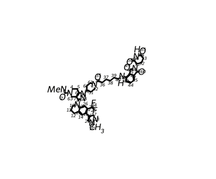 CNC(=O)N1CCc2c(c(N3CCCc4cc(-c5cnn(C)c5)c(C(F)F)cc43)nn2C2CCN(C(=O)CCCCCNc3cccc4c3C(=O)N(C3CCC(=O)NC3=O)C4=O)CC2)C1